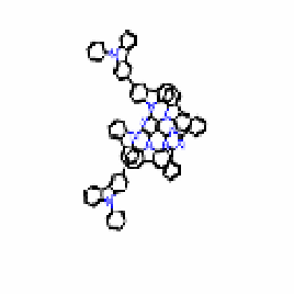 c1ccc(-c2nc(-c3ccccc3)nc(-c3c(-n4c5ccccc5c5ccccc54)c(-n4c5ccccc5c5cc(-c6ccc7c(c6)c6ccccc6n7-c6ccccc6)ccc54)nc(-n4c5ccccc5c5cc(-c6ccc7c(c6)c6ccccc6n7-c6ccccc6)ccc54)c3-n3c4ccccc4c4ccccc43)n2)cc1